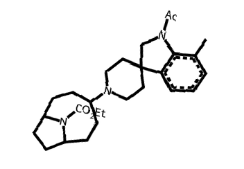 CCOC(=O)N1C2CCC(N3CCC4(CC3)CN(C(C)=O)c3c(C)cccc34)CCC1CC2